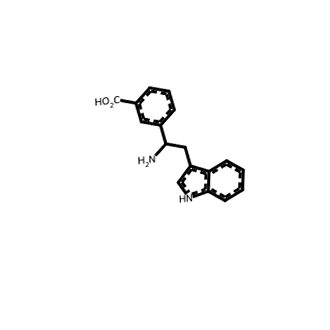 NC(Cc1c[nH]c2ccccc12)c1cccc(C(=O)O)c1